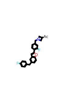 CC(=O)C1CN(Cc2ccc(-c3cc4cc(Cc5ccc(F)cc5)ccc4o3)c(F)c2)C1